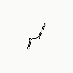 O=[SH]N=C=S